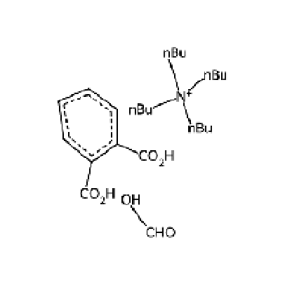 CCCC[N+](CCCC)(CCCC)CCCC.O=C(O)c1ccccc1C(=O)O.O=CO